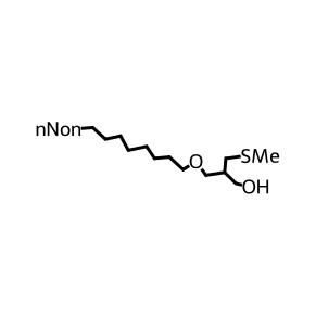 CCCCCCCCCCCCCCCCCOCC(CO)CSC